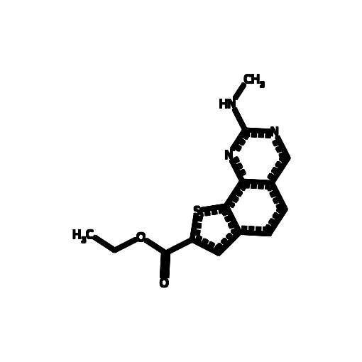 CCOC(=O)c1cc2ccc3cnc(NC)nc3c2s1